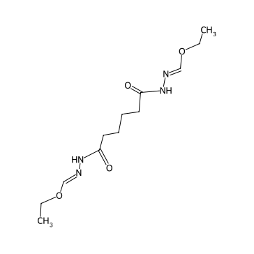 CCO/C=N/NC(=O)CCCCC(=O)N/N=C/OCC